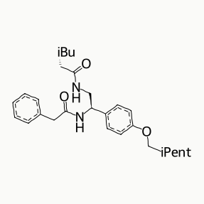 CCCC(C)COc1ccc([C@H](CNC(=O)C[C@@H](C)CC)NC(=O)Cc2ccccc2)cc1